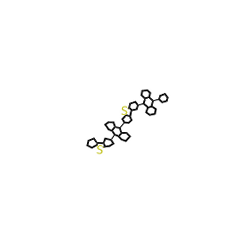 c1ccc(-c2c3ccccc3c(-c3ccc4sc5cc(-c6c7ccccc7c(-c7ccc8sc9ccccc9c8c7)c7ccccc67)ccc5c4c3)c3ccccc23)cc1